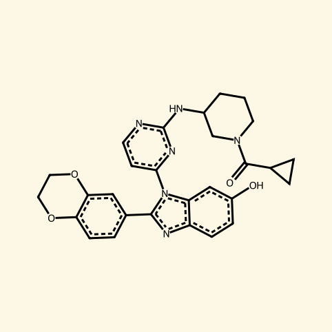 O=C(C1CC1)N1CCCC(Nc2nccc(-n3c(-c4ccc5c(c4)OCCO5)nc4ccc(O)cc43)n2)C1